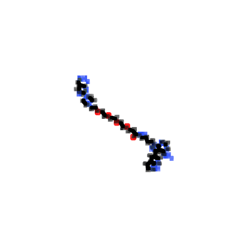 NCc1cnc(N2CCN(CCOCCOCCOCCOCCC(=O)NCCCCn3nc(-c4cnc5[nH]ccc5c4)c4c(N)ncnc43)CC2)nc1